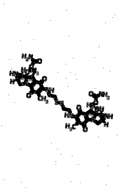 COC12[C@@H]3N[C@@H]3CN1C1=C(C(=O)C(NCCSSCCNC3=C(C)C(=O)C4=C(C3=O)[C@H](COC(N)=O)C3(OC)[C@@H]5N[C@@H]5CN43)=C(C)C1=O)[C@@H]2COC(N)=O